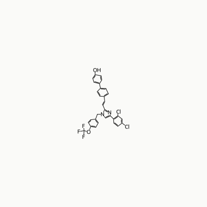 Oc1ccc(-c2ccc(C=Cc3nc(-c4ccc(Cl)cc4Cl)cn3Cc3ccc(OC(F)(F)F)cc3)cc2)cc1